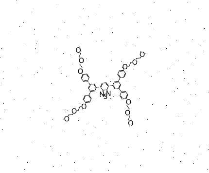 COCCOCCOc1ccc(-c2cc(-c3ccc(OCCOCCOC)cc3)cc(-c3ccc(-c4cc(-c5ccc(OCCOCCOC)cc5)cc(-c5ccc(OCCOCCOC)cc5)c4)c4nsnc34)c2)cc1